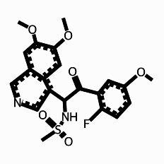 COc1ccc(F)c(C(=O)C(NS(C)(=O)=O)c2cncc3cc(OC)c(OC)cc23)c1